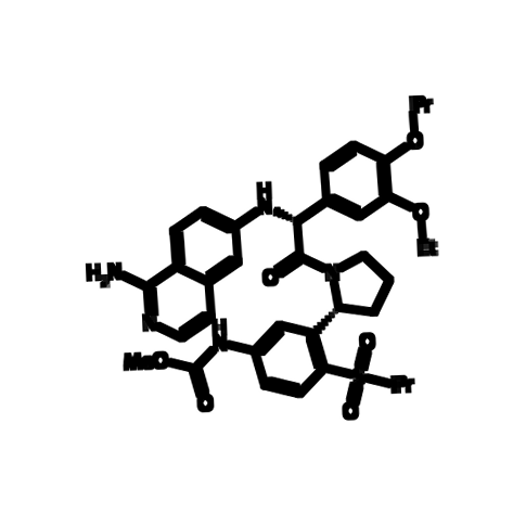 CCOc1cc([C@@H](Nc2ccc3c(N)nccc3c2)C(=O)N2CCC[C@@H]2c2cc(NC(=O)OC)ccc2S(=O)(=O)C(C)C)ccc1OC(C)C